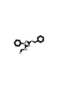 O=CNc1nc(SCc2ccccc2)nn1-c1ccccc1